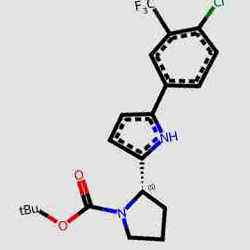 CC(C)(C)OC(=O)N1CCC[C@H]1c1ccc(-c2ccc(Cl)c(C(F)(F)F)c2)[nH]1